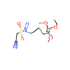 CO[Si](CCCNS(=O)(=O)CC#N)(OC)OC